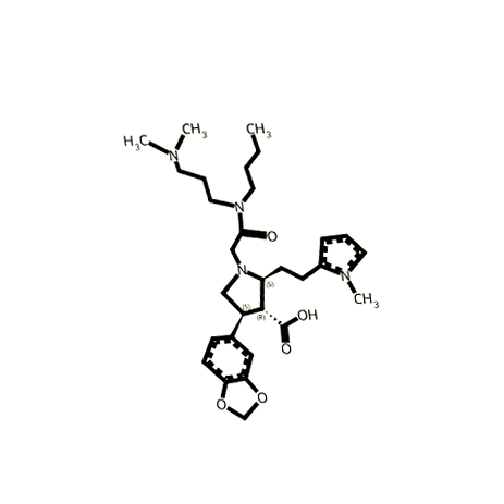 CCCCN(CCCN(C)C)C(=O)CN1C[C@H](c2ccc3c(c2)OCO3)[C@@H](C(=O)O)[C@@H]1CCc1cccn1C